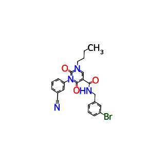 CCCCn1cc(C(=O)NCc2cccc(Br)c2)c(=O)n(-c2cccc(C#N)c2)c1=O